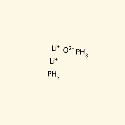 P.P.[Li+].[Li+].[O-2]